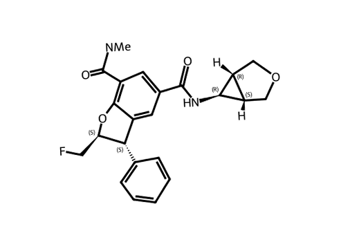 CNC(=O)c1cc(C(=O)N[C@H]2[C@@H]3COC[C@@H]32)cc2c1O[C@H](CF)[C@H]2c1ccccc1